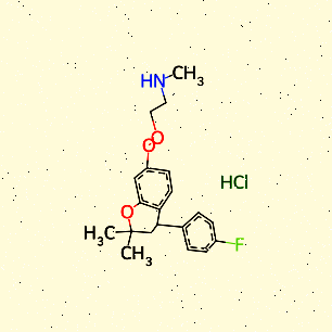 CNCCOOc1ccc2c(c1)OC(C)(C)CC2c1ccc(F)cc1.Cl